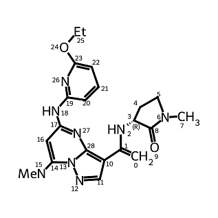 C=C(N[C@@H]1CCN(C)C1=O)c1cnn2c(NC)cc(Nc3cccc(OCC)n3)nc12